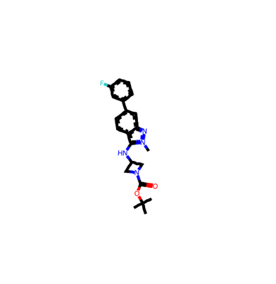 Cn1nc2cc(-c3cccc(F)c3)ccc2c1NC1CN(C(=O)OC(C)(C)C)C1